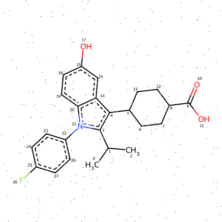 CC(C)c1c(C2CCC(C(=O)O)CC2)c2cc(O)ccc2n1-c1ccc(F)cc1